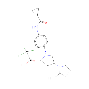 CC1CCCN1C1CCN(c2ccc(NC(=O)C3CC3)cc2)C1.O=C(O)C(F)(F)F